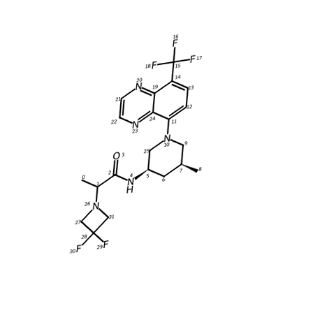 CC(C(=O)N[C@@H]1C[C@H](C)CN(c2ccc(C(F)(F)F)c3nccnc23)C1)N1CC(F)(F)C1